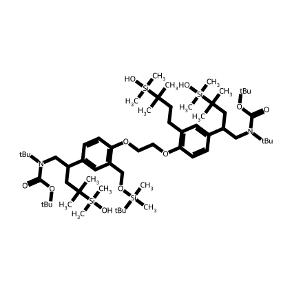 CC(C)(C)OC(=O)N(CC(CC(C)(C)[Si](C)(C)O)c1ccc(OCCOc2ccc(C(CN(C(=O)OC(C)(C)C)C(C)(C)C)CC(C)(C)[Si](C)(C)O)cc2CO[Si](C)(C)C(C)(C)C)c(CCC(C)(C)[Si](C)(C)O)c1)C(C)(C)C